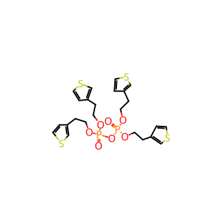 O=P(OCCc1ccsc1)(OCCc1ccsc1)OP(=O)(OCCc1ccsc1)OCCc1ccsc1